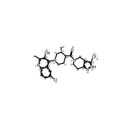 Cc1nc2ccc(Cl)cc2c(N2CCC(C(=O)N3CCc4n[nH]c(C(F)(F)F)c4C3)[C@H](C)C2)c1C#N